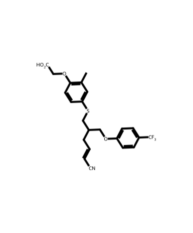 Cc1cc(SCC(C/C=C/C#N)COc2ccc(C(F)(F)F)cc2)ccc1OCC(=O)O